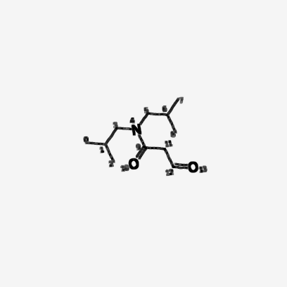 CC(C)CN(CC(C)C)C(=O)CC=O